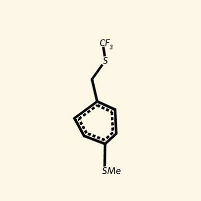 CSc1ccc(CSC(F)(F)F)cc1